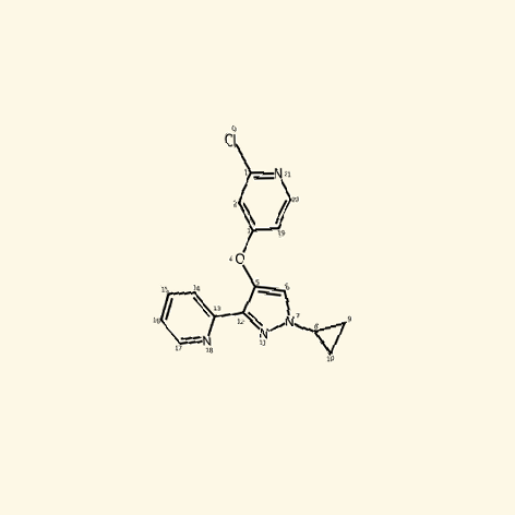 Clc1cc(Oc2cn(C3CC3)nc2-c2ccccn2)ccn1